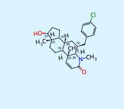 CN1C(=O)C=C[C@]2(C)[C@H]3CC[C@]4(C)[C@@H](O)CC[C@H]4[C@@H]3C[C@@H](Cc3ccc(Cl)cc3)[C@@H]12